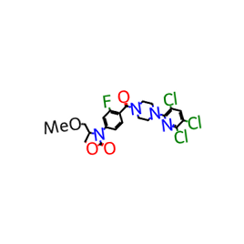 COCC1COC(=O)N1c1ccc(C(=O)N2CCN(c3nc(Cl)c(Cl)cc3Cl)CC2)c(F)c1